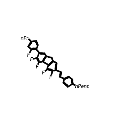 CCCCCc1ccc(C=Cc2cc3c(c(F)c2F)-c2c(cc(-c4ccc(CCC)cc4F)c(F)c2F)C3)cc1